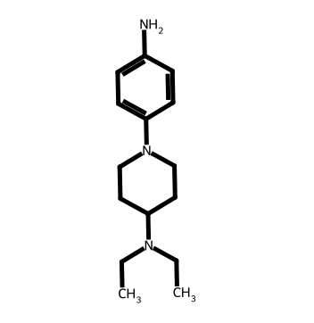 CCN(CC)C1CCN(c2ccc(N)cc2)CC1